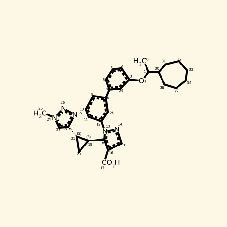 CC(Oc1cccc(-c2cccc(-n3ncc(C(=O)O)c3[C@H]3C[C@@H]3c3cn(C)nn3)c2)c1)C1CCCCCC1